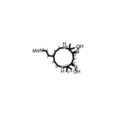 CNCCC1CCNC(C)(C)/C(=N\O)C/C(=N/O)C(C)(C)NCC1